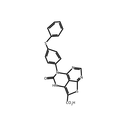 O=C(O)c1sc2ncnc3c2c1NC(=O)N3c1ccc(Sc2ccccc2)cc1